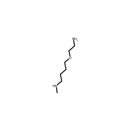 BCCOCCCCNC